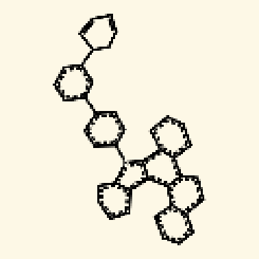 C1=CCC(c2cccc(-c3ccc(-n4c5ccccc5c5c6c7ccccc7ccc6c6ccccc6c54)cc3)c2)C=C1